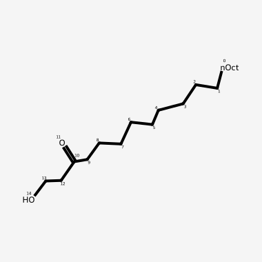 CCCCCCCCCCCCCCCCCC(=O)CCO